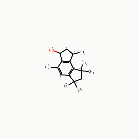 Cc1cc2c(c3c1C(O)CC3C)C(C)(C)CC2(C)C